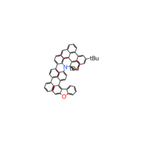 CC(C)(C)c1cc(-c2cccc3cccc(-c4ccccc4N(c4ccc(-c5cccc6oc7ccccc7c56)cc4)c4ccccc4-c4ccc(-c5ccccc5)cc4)c23)cc(C(C)(C)C)c1